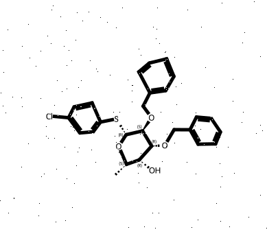 C[C@@H]1O[C@H](Sc2ccc(Cl)cc2)[C@@H](OCc2ccccc2)[C@H](OCc2ccccc2)[C@@H]1O